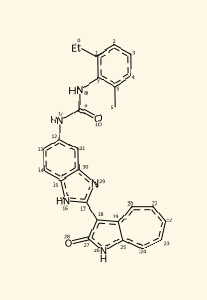 CCc1cccc(C)c1NC(=O)Nc1ccc2[nH]c(-c3c4cccccc-4[nH]c3=O)nc2c1